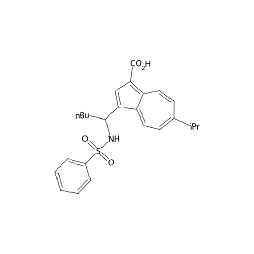 CCCCC(NS(=O)(=O)c1ccccc1)c1cc(C(=O)O)c2ccc(C(C)C)ccc1-2